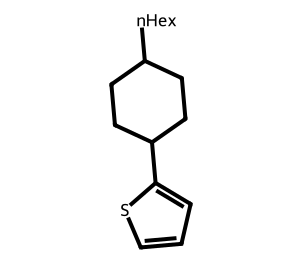 CCCCCCC1CCC(c2cccs2)CC1